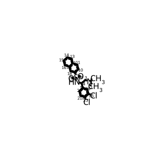 CN(C)CC(NS(=O)(=O)c1ccc2ccccc2c1)c1ccc(Cl)c(Cl)c1